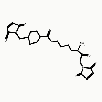 N[C@H](CCCCNC(=O)C1CCC(CN2C(=O)C=CC2=O)CC1)C(=O)ON1C(=O)C=CC1=O